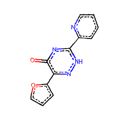 O=c1nc(-c2ccccn2)[nH]nc1-c1ccco1